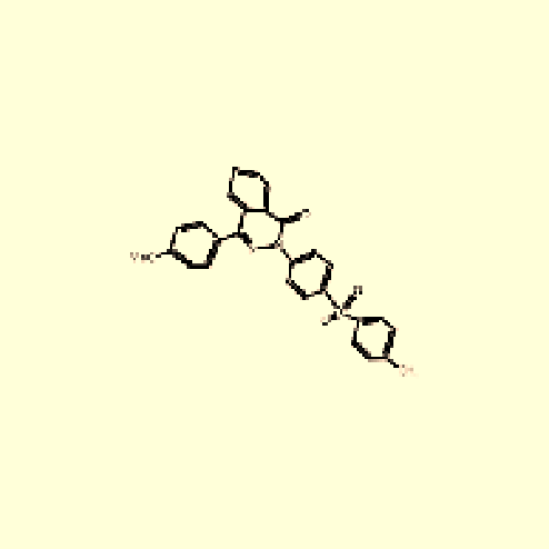 COc1ccc(-c2nn(-c3ccc(S(=O)(=O)c4ccc(C)cc4)cc3)c(=O)c3ccccc23)cc1